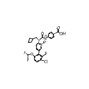 O=C(O)c1ccc(NC(=O)[C@H](CC2CCC2)c2ccc(-c3c(OC(F)F)ccc(Cl)c3F)c[n+]2[O-])cc1